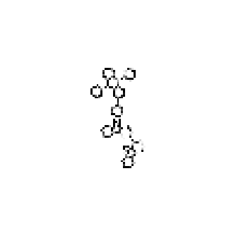 C1=CC(C2=CCCc3c2sc2ccccc32)Cc2c1n(-c1ccc(-c3ccc4c(-c5ccccc5)c5ccccc5c(-c5ccccc5)c4c3)cc1)c1ccccc21